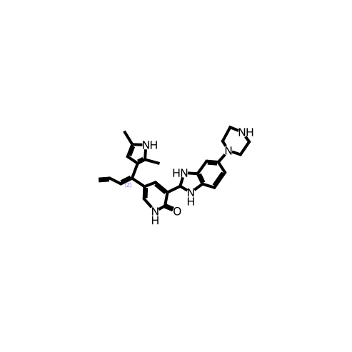 C=C/C=C(/c1c[nH]c(=O)c(C2Nc3ccc(N4CCNCC4)cc3N2)c1)c1cc(C)[nH]c1C